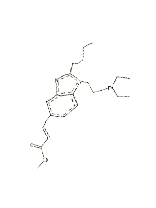 CCCCc1nc2cc(/C=C/C(=O)OC)ccc2n1CCN(CC)CC